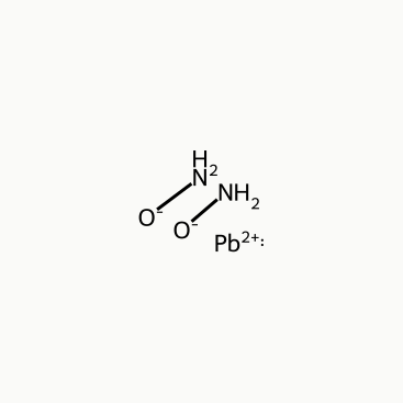 N[O-].N[O-].[Pb+2]